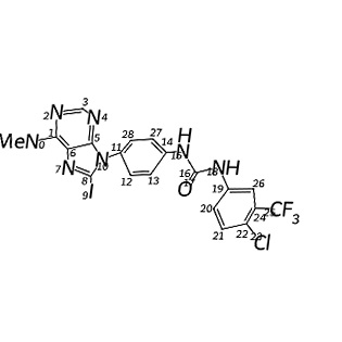 CNc1ncnc2c1nc(I)n2-c1ccc(NC(=O)Nc2ccc(Cl)c(C(F)(F)F)c2)cc1